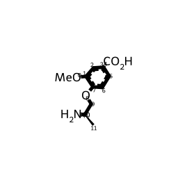 COc1cc(C(=O)O)ccc1OC[C@@H](C)N